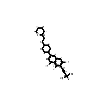 Fc1cc2cc(C3CCC(CCC4CCCCO4)CC3)cc(F)c2c(F)c1C#CC(F)(F)F